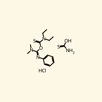 CCN(CC)C(=S)OC(=Nc1ccccc1)N(C)C.Cl.NC(O)=S